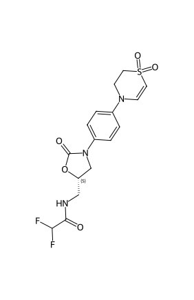 O=C(NC[C@H]1CN(c2ccc(N3C=CS(=O)(=O)CC3)cc2)C(=O)O1)C(F)F